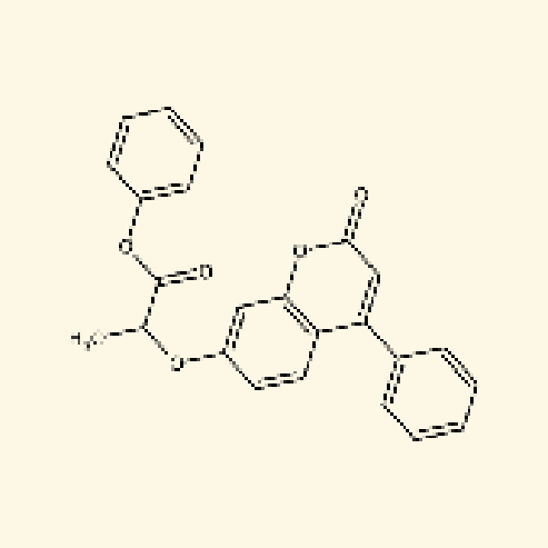 CC(Oc1ccc2c(-c3ccccc3)cc(=O)oc2c1)C(=O)Oc1ccccc1